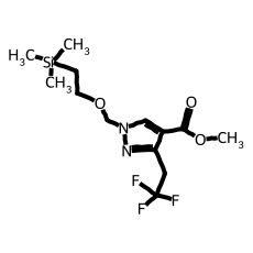 COC(=O)c1cn(COCC[Si](C)(C)C)nc1CC(F)(F)F